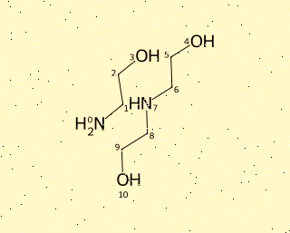 NCCO.OCCNCCO